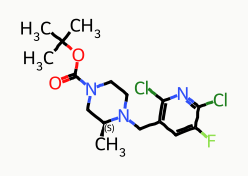 C[C@H]1CN(C(=O)OC(C)(C)C)CCN1Cc1cc(F)c(Cl)nc1Cl